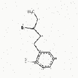 CCC(Br)CCc1ccccc1Cl